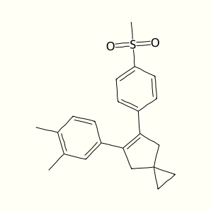 Cc1ccc(C2=C(c3ccc(S(C)(=O)=O)cc3)CC3(CC3)C2)cc1C